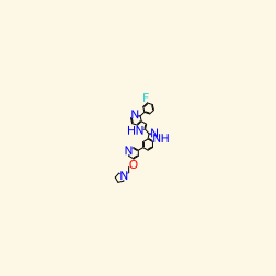 Fc1cccc(-c2nccc3[nH]c(-c4n[nH]c5ccc(-c6cncc(OCCN7CCCC7)c6)cc45)cc23)c1